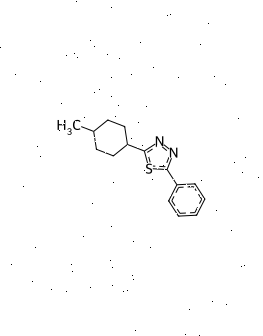 CC1CCC(c2nnc(-c3ccccc3)s2)CC1